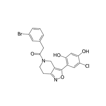 O=C(Cc1cccc(Br)c1)N1CCc2noc(-c3cc(Cl)c(O)cc3O)c2C1